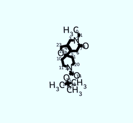 CCN1CC2=C(CC1=O)C1(CCN(C(=O)OC(C)(C)C)CC1)OC2